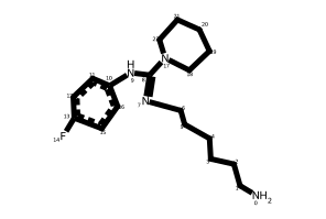 NCCCCCCN=C(Nc1ccc(F)cc1)N1CCCCC1